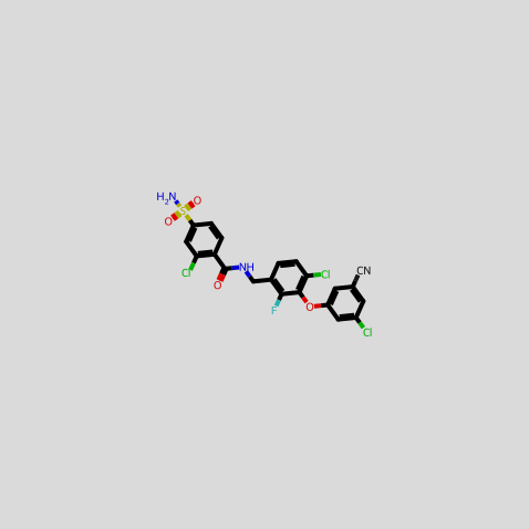 N#Cc1cc(Cl)cc(Oc2c(Cl)ccc(CNC(=O)c3ccc(S(N)(=O)=O)cc3Cl)c2F)c1